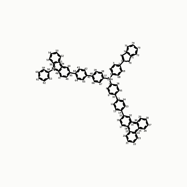 C1=C(c2ccc(N(c3ccc(-c4ccc(-c5ccc6c7ccccc7c7ccccc7c6c5)cc4)cc3)c3ccc(-c4ccc(-c5ccc6c(c5)c5ccccc5n6-c5ccccc5)cc4)cc3)cc2)Cc2ccccc21